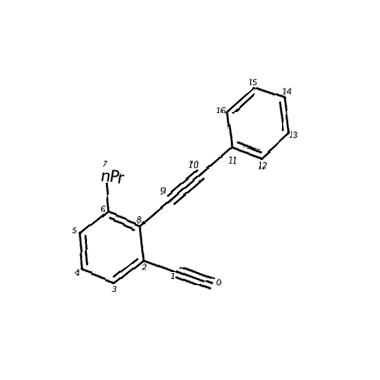 C#Cc1cccc(CCC)c1C#Cc1ccccc1